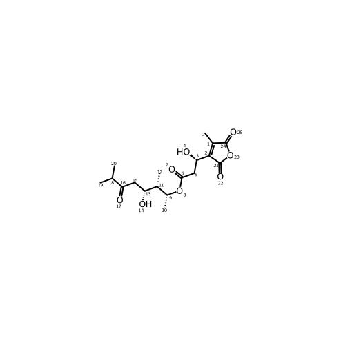 CC1=C([C@H](O)CC(=O)O[C@H](C)[C@@H](C)[C@H](O)CC(=O)C(C)C)C(=O)OC1=O